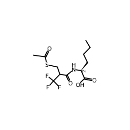 CCCC[C@H](NC(=O)C(CSC(C)=O)C(F)(F)F)C(=O)O